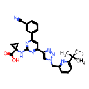 CC(C)(C)c1cccc(Cn2cc(-c3cc(-c4cccc(C#N)c4)nc(NC4(C(=O)O)CC4)n3)nn2)n1